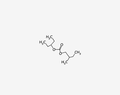 CCC(C)COC(=O)OC(CC)CC